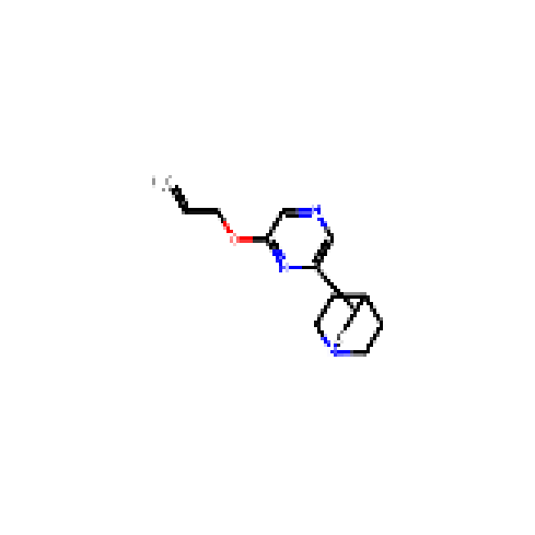 C=CCOc1cncc(C2CN3CCC2CC3)n1